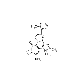 Cc1ccccc1[C@@H]1CCc2c(C(=O)N3CCC3C(N)=O)cc3c(nc(C)n3C)c2O1